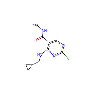 CC(C)(C)NC(=O)c1cnc(Cl)nc1NCC1CC1